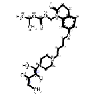 C/C=C(Cl)\C(Cl)=C(/C)N1CCN(CCCCOc2ccc3c(c2)N(COC(=O)OC(C)C)C(=O)CC3)CC1